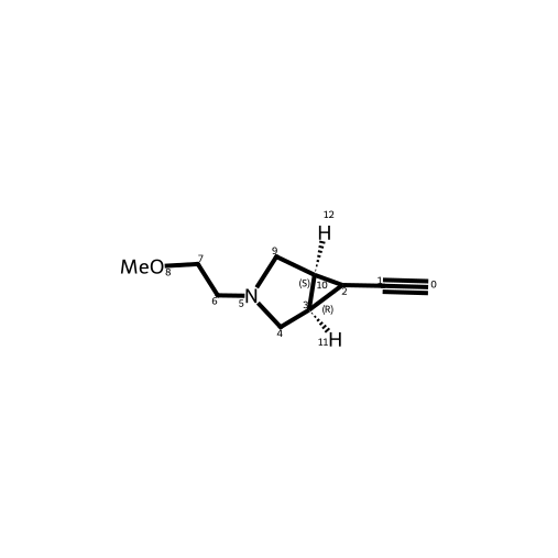 C#CC1[C@H]2CN(CCOC)C[C@@H]12